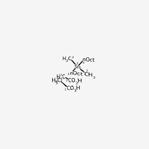 CC(=O)O.CC(=O)O.CCCCCCC[CH2][Sn]([CH3])([CH3])[CH2]CCCCCCC